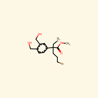 CCC(CCCBr)(C(=O)OC)c1ccc(CO)c(CO)c1